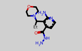 CCC(c1c(C(=O)NN)ccnc1N)N1CCOCC1